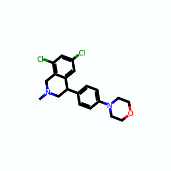 CN1Cc2c(Cl)cc(Cl)cc2C(c2ccc(N3CCOCC3)cc2)C1